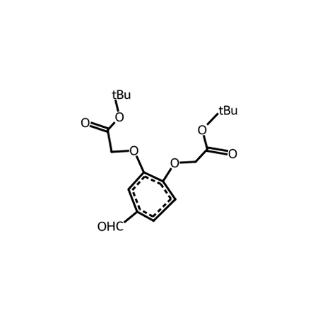 CC(C)(C)OC(=O)COc1ccc(C=O)cc1OCC(=O)OC(C)(C)C